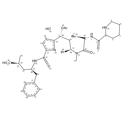 CC[C@H](C)[C@H](NC(=O)C1CCCCN1)C(=O)N(C)[C@H](C[C@@H](OC(C)=O)c1nc(C(=O)N[C@@H](Cc2ccccc2)C[C@H](C)C(=O)O)cs1)C(C)C.Cl